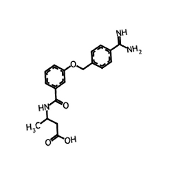 CC(CC(=O)O)NC(=O)c1cccc(OCc2ccc(C(=N)N)cc2)c1